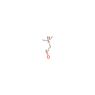 C[SH](C)C[S+]=O